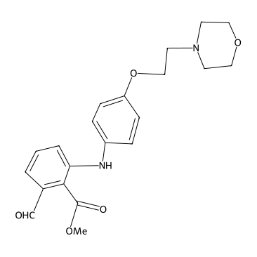 COC(=O)c1c(C=O)cccc1Nc1ccc(OCCN2CCOCC2)cc1